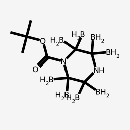 BC1(B)NC(B)(B)C(B)(B)N(C(=O)OC(C)(C)C)C1(B)B